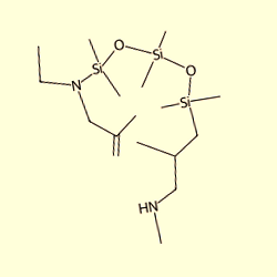 C=C(C)CN(CC)[Si](C)(C)O[Si](C)(C)O[Si](C)(C)CC(C)CNC